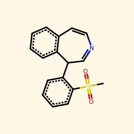 CS(=O)(=O)c1ccccc1C1C=NC=Cc2ccccc21